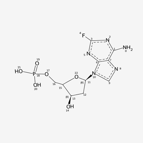 Nc1nc(F)nc2c1ncn2[C@H]1C[C@@H](O)C(COP(=O)(O)O)O1